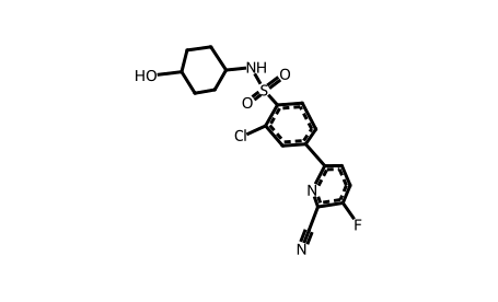 N#Cc1nc(-c2ccc(S(=O)(=O)NC3CCC(O)CC3)c(Cl)c2)ccc1F